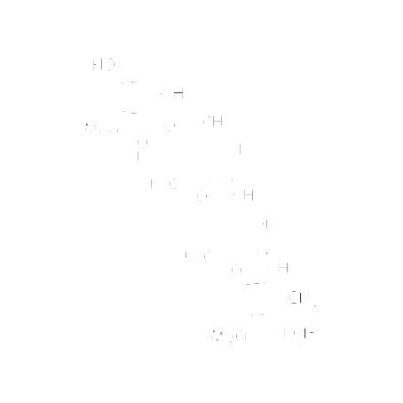 COc1cc(O)cc(C)c1C(=O)Oc1c(C)c(C)c(C(=O)Oc2cc(C)c(C(=O)Oc3cc(OC)c(C(=O)O)c(C)c3C)c(O)c2C)c(C)c1C